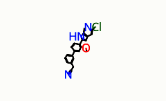 COc1cc(-c2cccc(CC#N)c2)ccc1-c1cc2cc(Cl)ncc2[nH]1